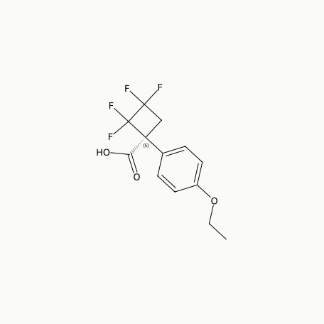 CCOc1ccc([C@]2(C(=O)O)CC(F)(F)C2(F)F)cc1